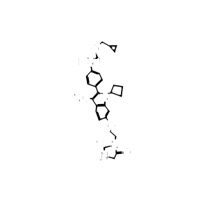 C[C@@H](OC(=O)Nc1ccc(-c2c(C#N)c3ccc(OCCN4C(=O)CN(C)C4=O)cc3n2C2CCC2)cc1)C1CC1